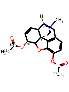 CN1CC[C@]23c4c5ccc(O[13C]([13CH3])=O)c4OC2[C@@H](O[13C]([13CH3])=O)C=CC3[C@H]1C5